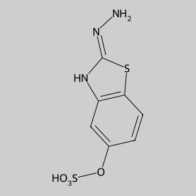 NN=c1[nH]c2cc(OS(=O)(=O)O)ccc2s1